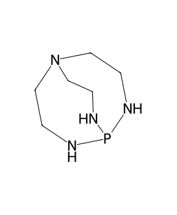 C1CN2CCNP(N1)NCC2